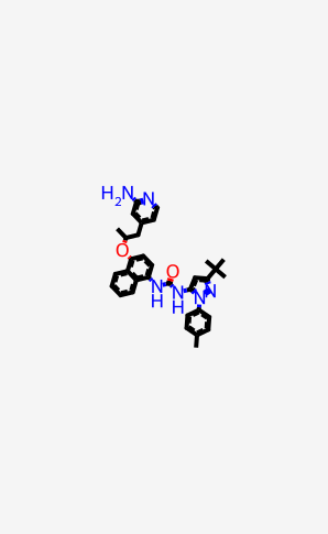 Cc1ccc(-n2nc(C(C)(C)C)cc2NC(=O)Nc2ccc(OC(C)Cc3ccnc(N)c3)c3ccccc23)cc1